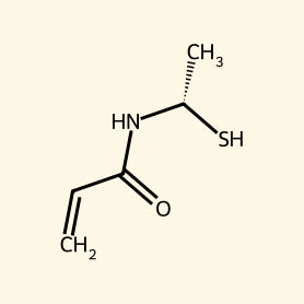 C=CC(=O)N[C@H](C)S